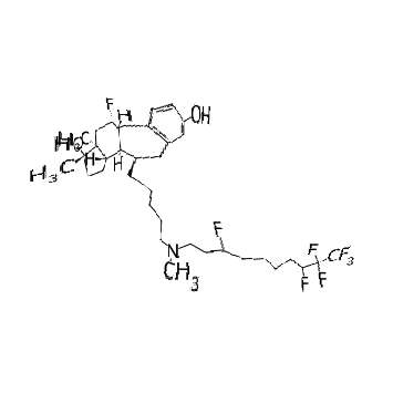 CN(CCCCC[C@@H]1Cc2cc(O)ccc2[C@@H]2[C@@H]1[C@@H]1CC[C@](C)(O)[C@@]1(C)C[C@@H]2F)CCC(F)CCCCC(F)C(F)(F)C(F)(F)F